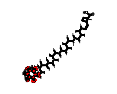 C[C@@]1(C(=O)O)CCC1/C=C\I(I)I(I)I(I)I(I)I(I)I(I)I(I)I(I)I(I)I(I)I(I)I(I)I(I)I(I)I(I)I(I)I(I)I(I)I(I)I(I)I(I)I(I)I(I)I(I)I(I)I(I)I(I)I(I)I(I)I(I)I(I)I(I)I(I)I(I)I(I)I(I)I(I)I(I)I(I)I(I)I(I)I(I)I(I)I(I)I(I)I(I)I(I)I(I)I(I)I(I)I(I)I(I)I(I)I(I)I(I)I(I)I(I)I(I)I(I)I(I)I(I)I